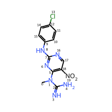 CN(C(=N)N)c1nc(Nc2ccc(Cl)cc2)ncc1[N+](=O)[O-]